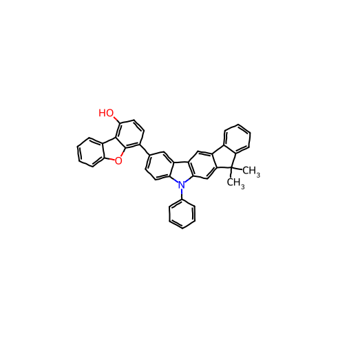 CC1(C)c2ccccc2-c2cc3c4cc(-c5ccc(O)c6c5oc5ccccc56)ccc4n(-c4ccccc4)c3cc21